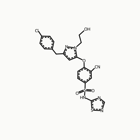 N#Cc1cc(S(=O)(=O)Nc2ncns2)ccc1Oc1cc(Cc2ccc(Cl)cc2)nn1CCO